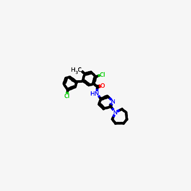 Cc1cc(Cl)c(C(=O)Nc2ccc(N3CCCCCC3)nc2)cc1-c1cccc(Cl)c1